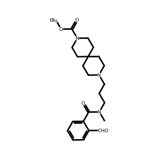 CN(CCCN1CCC2(CC1)CCN(C(=O)OC(C)(C)C)CC2)C(=O)c1ccccc1C=O